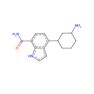 NC(=O)c1ccc(C2CCCC(N)C2)c2cc[nH]c12